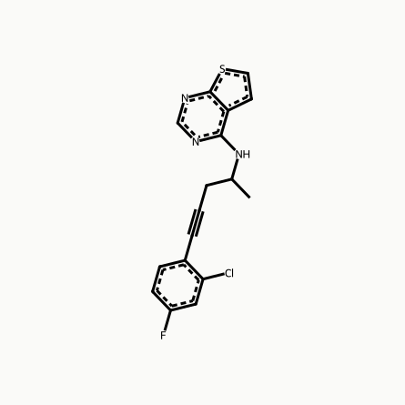 CC(CC#Cc1ccc(F)cc1Cl)Nc1ncnc2sccc12